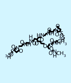 [3H]SOSC1CC(=O)N(CCC(=O)NCCNC(=O)CC(CC(=O)NCCNC(=O)CCN2C(=O)CC(SOS[3H])C2=O)C(=O)CCCOC(COC(=O)NCC)COC(=O)NCC)C1=O